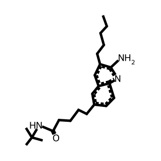 CCCCCc1cc2cc(CCCCC(=O)NC(C)(C)C)ccc2nc1N